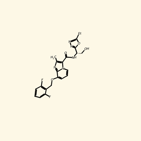 CCc1nnc([C@H](CO)NC(=O)c2c(C)nc3c(OCc4c(F)cccc4F)cccn23)o1